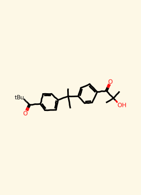 CC(C)(C)C(=O)c1ccc(C(C)(C)c2ccc(C(=O)C(C)(C)O)cc2)cc1